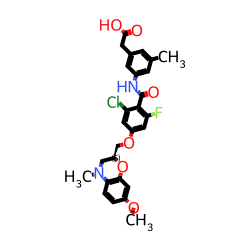 COc1ccc2c(c1)O[C@H](COc1cc(F)c(C(=O)Nc3cc(C)cc(CC(=O)O)c3)c(Cl)c1)CN2C